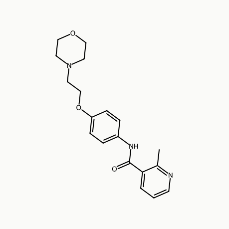 Cc1ncccc1C(=O)Nc1ccc(OCCN2CCOCC2)cc1